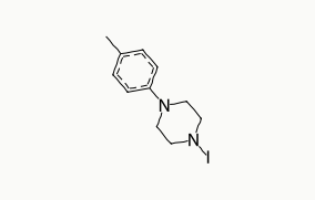 Cc1ccc(N2CCN(I)CC2)cc1